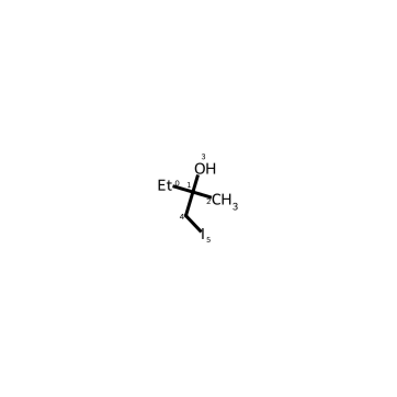 CCC(C)(O)CI